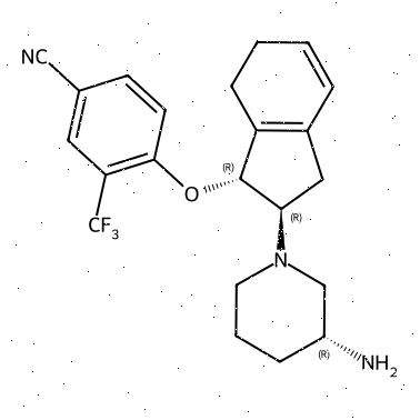 N#Cc1ccc(O[C@@H]2C3=C(C=CCC3)C[C@H]2N2CCC[C@@H](N)C2)c(C(F)(F)F)c1